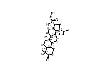 C=C(C)[C@@H]1CC[C@]2(NC(=O)OC(C)(C)C)CCC3[C@H](CCC4[C@@]3(C)CCC3C(C)(C)C(=O)CC[C@@]34C)C12